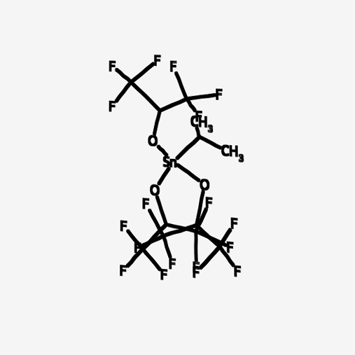 C[CH](C)[Sn]([O]C(C(F)(F)F)C(F)(F)F)([O]C(C(F)(F)F)C(F)(F)F)[O]C(C(F)(F)F)C(F)(F)F